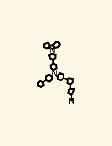 N#Cc1ccc(-c2cccc(C3C=CC(N(c4ccc(-c5ccccc5)cc4)c4ccc(-c5ccc(-n6c7ccccc7c7ccccc76)cc5)cc4)=CC3)c2)cc1